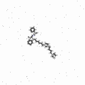 CN(/N=C/C1N(C)c2ccccc2N1CCCCCCn1cc[n+](CCCCn2ccnc2)c1)c1ccccc1